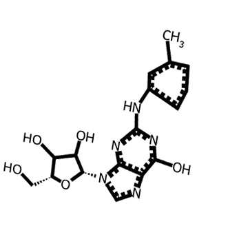 Cc1cccc(Nc2nc(O)c3ncn([C@@H]4O[C@H](CO)C(O)C4O)c3n2)c1